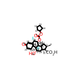 C[C@@H]1C[C@H]2[C@@H]3C(OC(=O)OC4CCCC4)[C@H](F)C4=CC(=O)C=C[C@]4(C)[C@@]3(F)[C@@H](O)C[C@]2(C)[C@@H]1C(=O)O